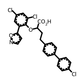 O=C(O)C(CCc1ccc(-c2ccc(Cl)cc2)cc1)Oc1c(Cl)cc(Cl)cc1-c1ccno1